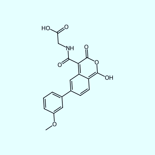 COc1cccc(-c2ccc3c(O)oc(=O)c(C(=O)NCC(=O)O)c3c2)c1